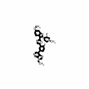 CCn1cnc2c(-c3ccc(F)c(-c4cnc(C5=c6ccc(OC)cc6=NC5[C@H]5CCN(C)C[C@H]5F)o4)c3)cnnc21